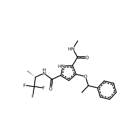 CNC(=O)c1[nH]c(C(=O)N[C@@H](C)C(F)(F)F)cc1OC(C)c1ccccc1